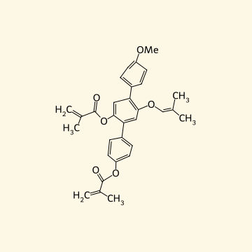 C=C(C)C(=O)Oc1ccc(-c2cc(OC=C(C)C)c(-c3ccc(OC)cc3)cc2OC(=O)C(=C)C)cc1